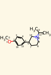 COc1ccc(C2CCCN(C(C)C)C2)cc1